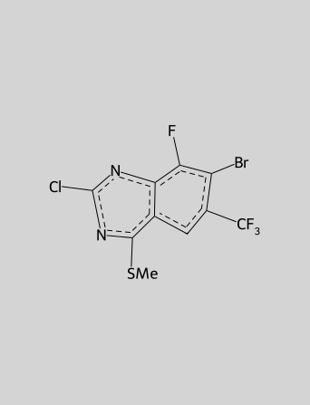 CSc1nc(Cl)nc2c(F)c(Br)c(C(F)(F)F)cc12